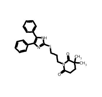 CC1(C)CCC(=O)N(CCCSc2nc(-c3ccccc3)c(-c3ccccc3)[nH]2)C1=O